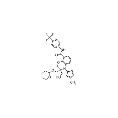 Cc1cnc(N2c3cccc(C(=O)Nc4ccc(C(F)(F)F)cc4)c3OC[C@@]2(CO)COC2CCCCO2)s1